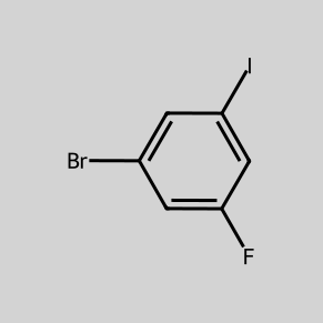 Fc1cc(Br)cc(I)c1